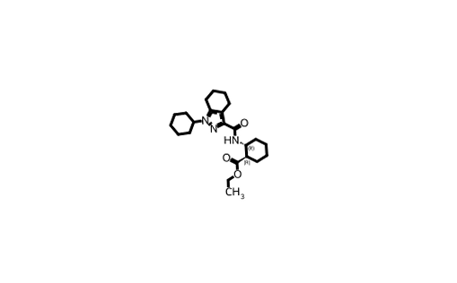 CCOC(=O)[C@@H]1CCCC[C@H]1NC(=O)c1nn(C2CCCCC2)c2c1CCCC2